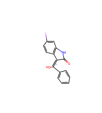 O=C1Nc2cc(I)ccc2/C1=C(\O)c1ccccc1